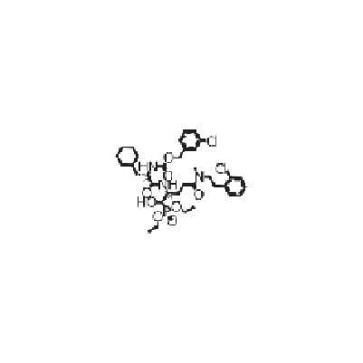 CCOP(=O)(OCC)C(O)[C@H](CCC(=O)N(C)CCc1ccccc1Cl)NC(=O)[C@H](CC1CCCCC1)NC(=O)OCc1cccc(Cl)c1